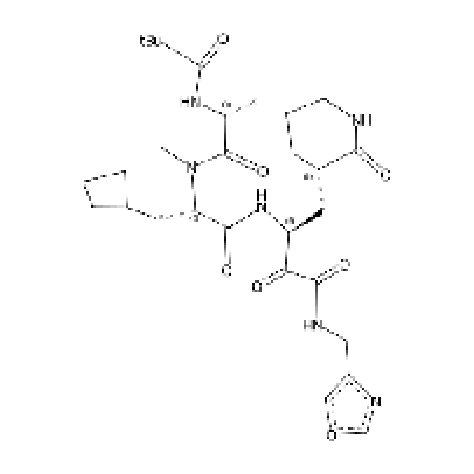 C[C@@H](NC(=O)C(C)(C)C)C(=O)N(C)[C@@H](CC1CCC1)C(=O)N[C@@H](C[C@@H]1CCCNC1=O)C(=O)C(=O)NCc1cocn1